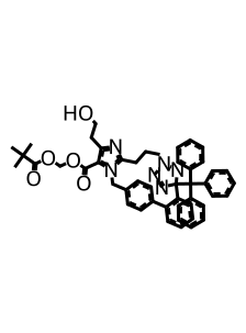 CCCc1nc(CCO)c(C(=O)OCOC(=O)C(C)(C)C)n1Cc1ccc(-c2ccccc2C2(C(c3ccccc3)(c3ccccc3)c3ccccc3)N=NN=N2)cc1